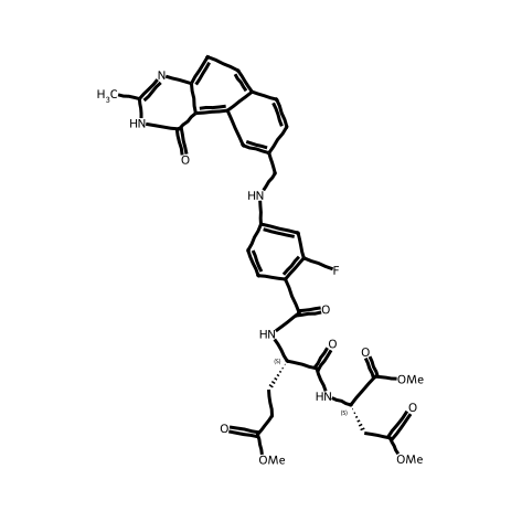 COC(=O)CC[C@H](NC(=O)c1ccc(NCc2ccc3ccc4nc(C)[nH]c(=O)c4c3c2)cc1F)C(=O)N[C@@H](CC(=O)OC)C(=O)OC